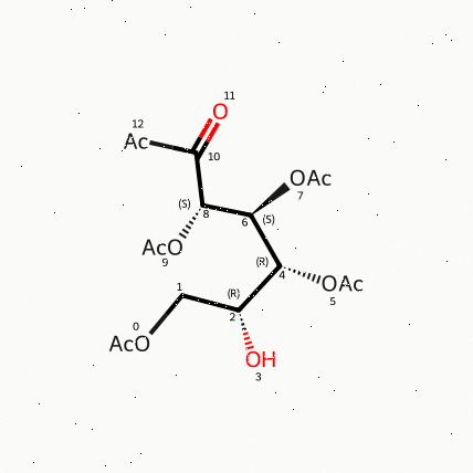 CC(=O)OC[C@@H](O)[C@@H](OC(C)=O)[C@H](OC(C)=O)[C@H](OC(C)=O)C(=O)C(C)=O